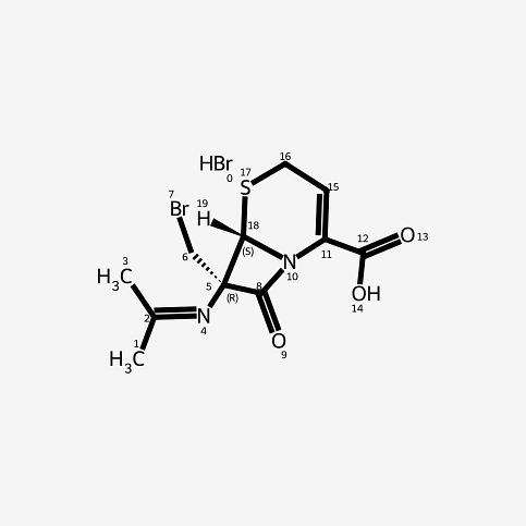 Br.CC(C)=N[C@]1(CBr)C(=O)N2C(C(=O)O)=CCS[C@H]21